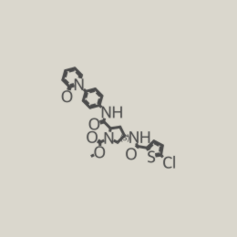 COC(=O)N1C[C@@H](NC(=O)c2ccc(Cl)s2)CC1C(=O)Nc1ccc(-n2ccccc2=O)cc1